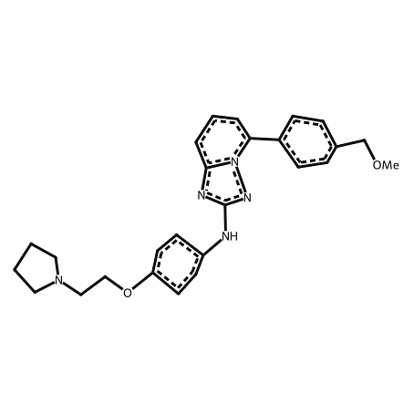 COCc1ccc(-c2cccc3nc(Nc4ccc(OCCN5CCCC5)cc4)nn23)cc1